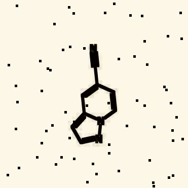 N#Cc1ccn2nccc2c1